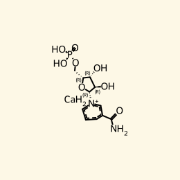 NC(=O)c1ccc[n+]([C@@H]2O[C@H](COP(=O)(O)O)[C@H](O)[C@H]2O)c1.[CaH2]